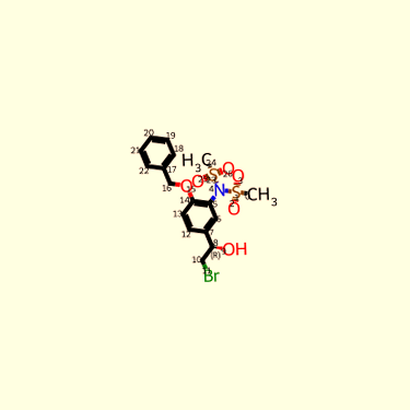 CS(=O)(=O)N(c1cc([C@@H](O)CBr)ccc1OCc1ccccc1)S(C)(=O)=O